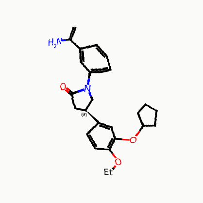 C=C(N)c1cccc(N2C[C@@H](c3ccc(OCC)c(OC4CCCC4)c3)CC2=O)c1